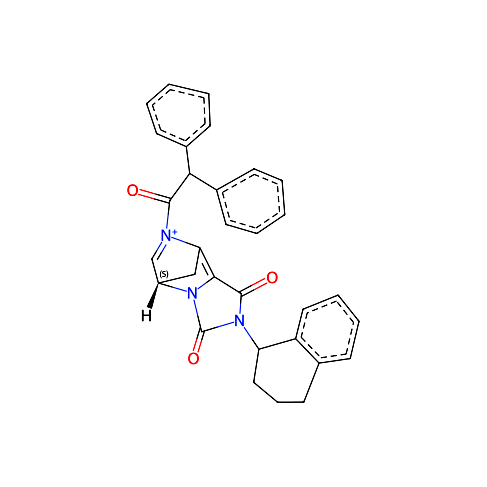 O=C1C2=C3C[C@@H](C=[N+]3C(=O)C(c3ccccc3)c3ccccc3)N2C(=O)N1C1CCCc2ccccc21